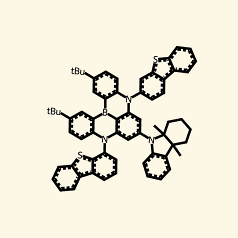 CC(C)(C)c1ccc2c(c1)B1c3cc(C(C)(C)C)ccc3N(c3cccc4c3sc3ccccc34)c3cc(N4c5ccccc5C5(C)CCCCC45C)cc(c31)N2c1ccc2c(c1)sc1ccccc12